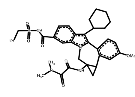 COc1ccc2c(c1)C1CC1(NC(=O)C(=O)N(C)C)Cn1c-2c(C2CCCCC2)c2ccc(C(=O)NS(=O)(=O)CC(C)C)cc21